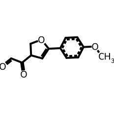 COc1ccc(C2=CC(C(=O)C=O)CO2)cc1